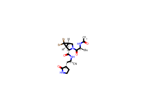 CC(C)(C)[C@H](NC(=O)C(F)(F)F)C(=O)N1C[C@H]2[C@@H]([C@H]1C(=O)N[C@H](C#N)C[C@@H]1CCNC1=O)C2(Br)Br